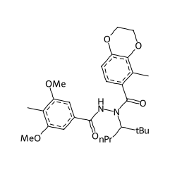 CCCC(N(NC(=O)c1cc(OC)c(C)c(OC)c1)C(=O)c1ccc2c(c1C)OCCO2)C(C)(C)C